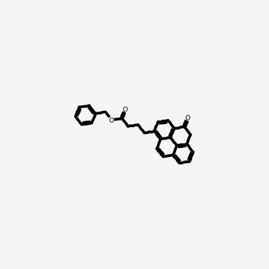 O=C(CCCc1ccc2c3c1ccc1cccc(c13)CC2=O)OCc1ccccc1